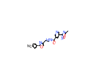 Cc1nc(-c2cncc(C(=O)NCCc3coc(-c4ccc(C#N)cc4)n3)c2)no1